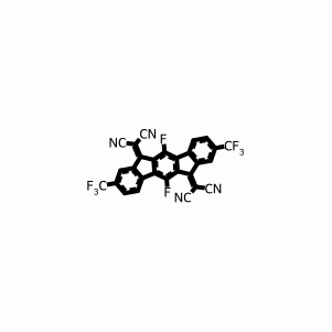 N#CC(C#N)=C1c2cc(C(F)(F)F)ccc2-c2c(F)c3c(c(F)c21)-c1ccc(C(F)(F)F)cc1C3=C(C#N)C#N